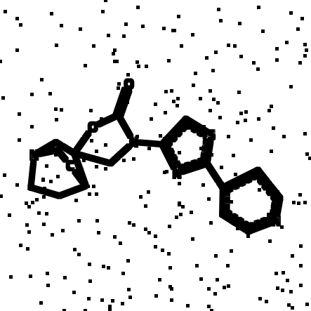 O=C1OC2(CN3CCC2CC3)CN1c1csc(-c2ccncc2)n1